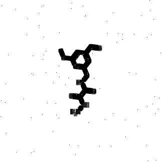 COc1cc(C=O)cc(CNC(=O)C(=O)NN)c1